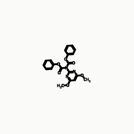 COc1cc(OC)nc(N(C(=O)Oc2ccccc2)C(=O)Oc2ccccc2)n1